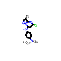 CCc1cnn2c(Nc3ccc(N(C(=O)O)C(C)(C)C)cc3)cc(Cl)nc12